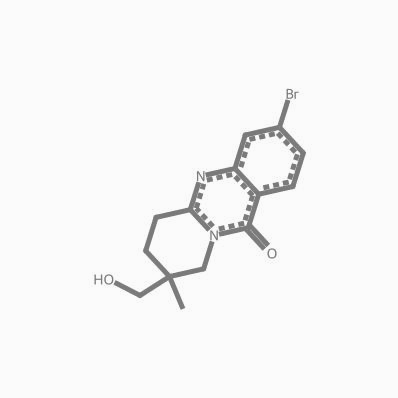 CC1(CO)CCc2nc3cc(Br)ccc3c(=O)n2C1